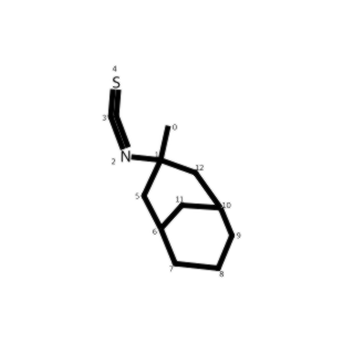 CC1(N=C=S)CC2CCCC(C2)C1